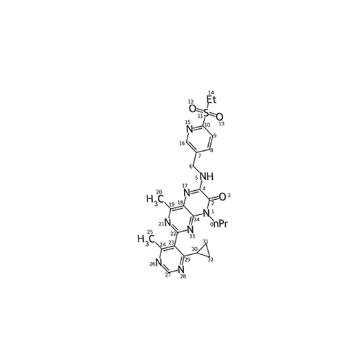 CCCn1c(=O)c(NCc2ccc(S(=O)(=O)CC)nc2)nc2c(C)nc(-c3c(C)ncnc3C3CC3)nc21